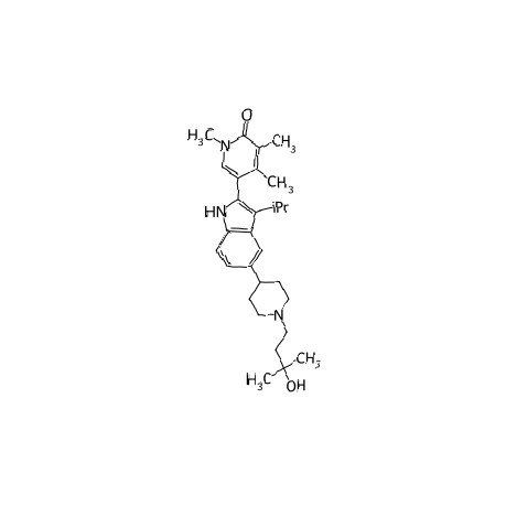 Cc1c(-c2[nH]c3ccc(C4CCN(CCC(C)(C)O)CC4)cc3c2C(C)C)cn(C)c(=O)c1C